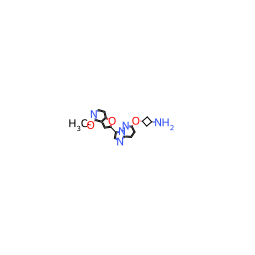 COc1nccc2oc(-c3cnc4ccc(O[C@H]5C[C@H](N)C5)nn34)cc12